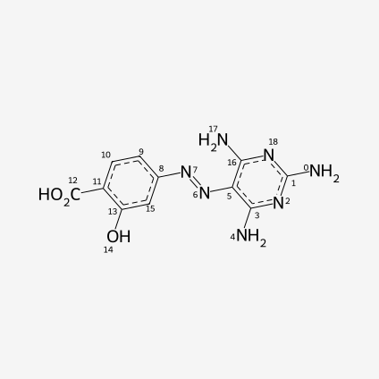 Nc1nc(N)c(N=Nc2ccc(C(=O)O)c(O)c2)c(N)n1